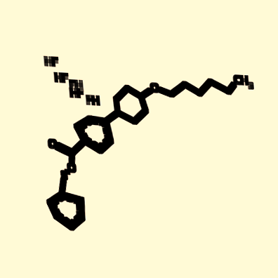 CCCCCCOC1CCC(c2ccc(C(=O)OSc3ccccc3)cc2)CC1.F.F.F.F.F